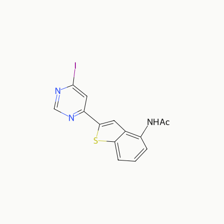 CC(=O)Nc1cccc2sc(-c3cc(I)ncn3)cc12